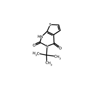 CC(C)(C)n1c(=O)[nH]c2sccc2c1=O